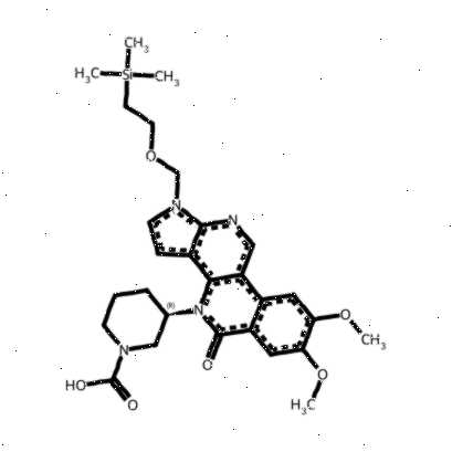 COc1cc2c(=O)n([C@@H]3CCCN(C(=O)O)C3)c3c(cnc4c3ccn4COCC[Si](C)(C)C)c2cc1OC